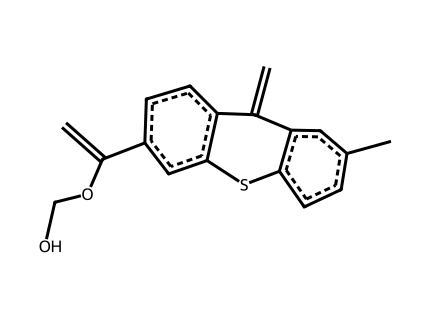 C=C(OCO)c1ccc2c(c1)Sc1ccc(C)cc1C2=C